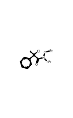 CCCN(OCC)C(=O)C(C)(Cl)c1ccccc1